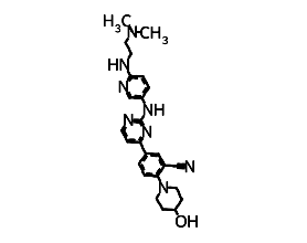 CN(C)CCNc1ccc(Nc2nccc(-c3ccc(N4CCC(O)CC4)c(C#N)c3)n2)cn1